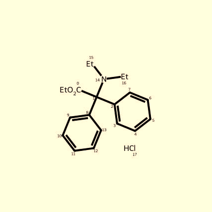 CCOC(=O)C(c1ccccc1)(c1ccccc1)N(CC)CC.Cl